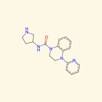 O=C(NC1CCNC1)N1CCN(c2ccccn2)c2ccccc21